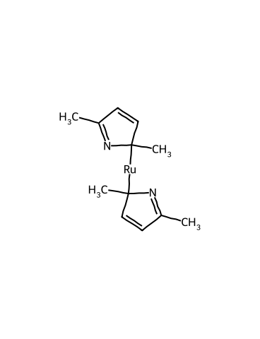 CC1=N[C](C)([Ru][C]2(C)C=CC(C)=N2)C=C1